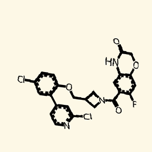 O=C1COc2cc(F)c(C(=O)N3CC(COc4ccc(Cl)cc4-c4ccnc(Cl)c4)C3)cc2N1